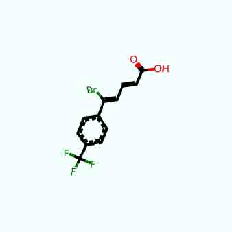 O=C(O)C=CC=C(Br)c1ccc(C(F)(F)F)cc1